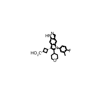 Cc1cc(-n2c(C3CCOCC3)c([C@H]3C[C@@H](C(=O)O)C3)c3cc4[nH]ncc4cc32)ccc1F